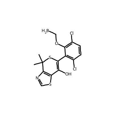 BCOc1c(Cl)ccc(Cl)c1C1=C(O)c2scnc2C(C)(C)S1